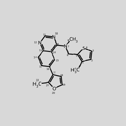 Cc1ccsc1CN(C)c1ncnc2ccc(-c3ccoc3C)cc12